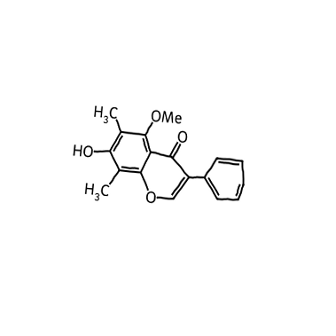 COc1c(C)c(O)c(C)c2occ(-c3ccccc3)c(=O)c12